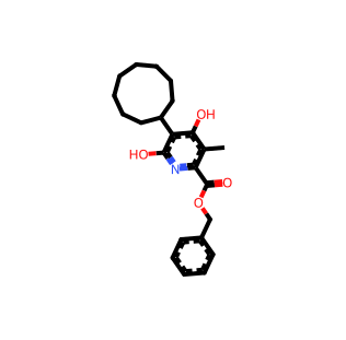 Cc1c(C(=O)OCc2ccccc2)nc(O)c(C2CCCCCCCC2)c1O